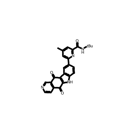 Cc1cc(C(=O)NC(C)(C)C)nc(-c2ccc3[nH]c4c(c3c2)C(=O)c2cnccc2C4=O)c1